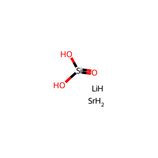 O=[Si](O)O.[LiH].[SrH2]